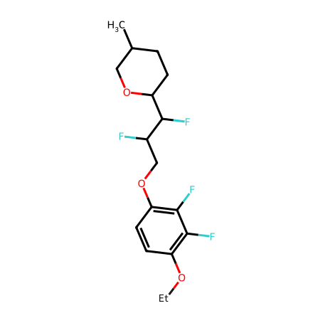 CCOc1ccc(OCC(F)C(F)C2CCC(C)CO2)c(F)c1F